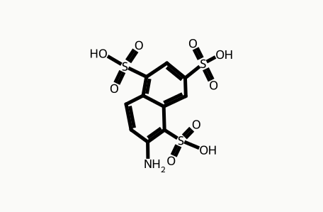 Nc1ccc2c(S(=O)(=O)O)cc(S(=O)(=O)O)cc2c1S(=O)(=O)O